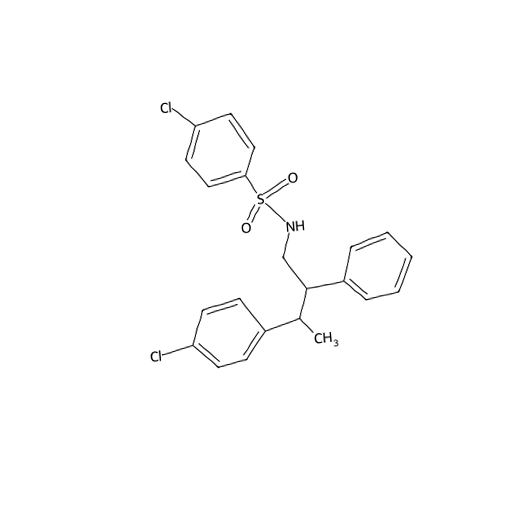 CC(c1ccc(Cl)cc1)C(CNS(=O)(=O)c1ccc(Cl)cc1)c1ccccc1